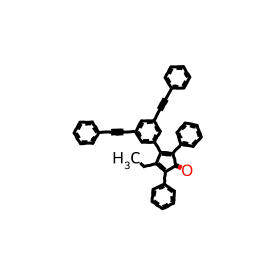 CCC1=C(c2ccccc2)C(=O)C(c2ccccc2)=C1c1cc(C#Cc2ccccc2)cc(C#Cc2ccccc2)c1